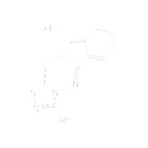 CCCc1nnc2n1N=C1c3ccccc3C(CCC)C1S2